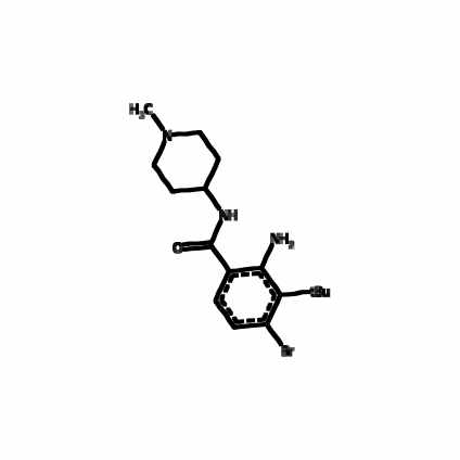 CN1CCC(NC(=O)c2ccc(Br)c(C(C)(C)C)c2N)CC1